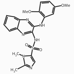 COc1ccc(OC)c(Nc2nc3ccccc3nc2NS(=O)(=O)c2cnc(C)n2C)c1